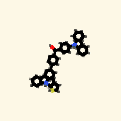 O=C(c1ccc(-c2cc3c4ccccc4n4c5sccc5c(c2)c34)cc1)c1ccc(-n2c3ccccc3c3ccccc32)cc1